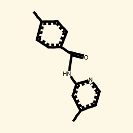 Cc1ccc(C(=O)Nc2cc(C)ccn2)cc1